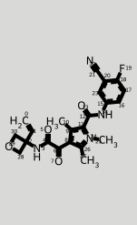 C=CC1(NC(=O)C(=O)c2c(C)c(C(=O)Nc3ccc(F)c(C#N)c3)n(C)c2C)COC1